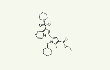 CCOC(=O)c1cc(-c2cc(S(=O)(=O)N3CCCCC3)c3ccccn23)n(CC2CCCCC2)c1C